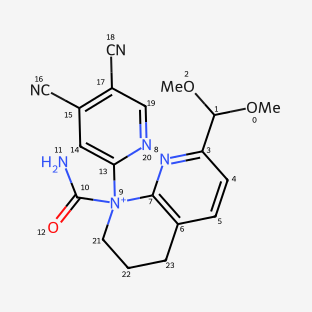 COC(OC)c1ccc2c(n1)[N+](C(N)=O)(c1cc(C#N)c(C#N)cn1)CCC2